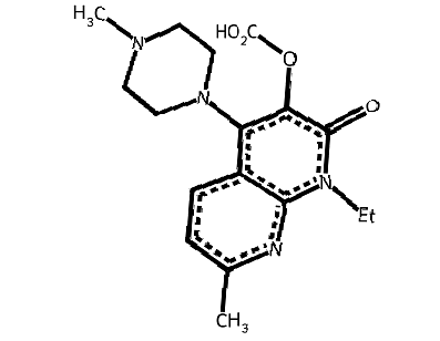 CCn1c(=O)c(OC(=O)O)c(N2CCN(C)CC2)c2ccc(C)nc21